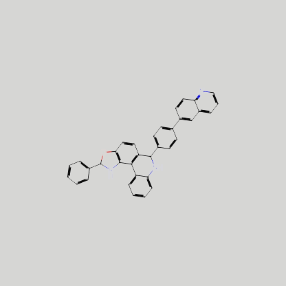 c1ccc(C2Nc3c(ccc4c3-c3ccccc3NC4c3ccc(-c4ccc5ncccc5c4)cc3)O2)cc1